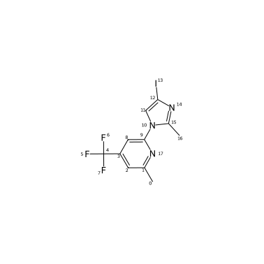 Cc1cc(C(F)(F)F)cc(-n2cc(I)nc2C)n1